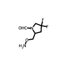 NOCC1CC(F)(F)CN1C=O